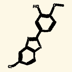 COc1ccc(-c2nc3cc(Cl)ccc3s2)cc1O